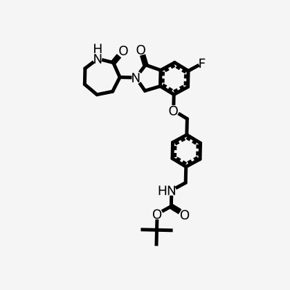 CC(C)(C)OC(=O)NCc1ccc(COc2cc(F)cc3c2CN(C2CCCCNC2=O)C3=O)cc1